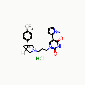 Cl.Cn1cccc1-c1cn(CCCN2C[C@@H]3C[C@]3(c3ccc(C(F)(F)F)cc3)C2)c(=O)[nH]c1=O